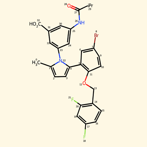 Cc1ccc(-c2cc(Br)ccc2OCc2ccc(F)cc2F)n1-c1cc(NC(=O)C(C)C)cc(C(=O)O)c1